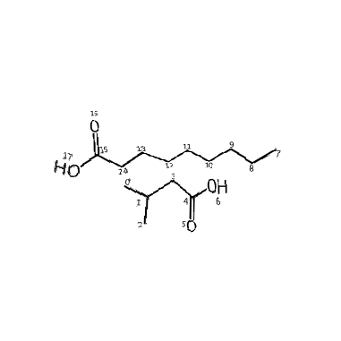 CC(C)CC(=O)O.CCCCCCCCC(=O)O